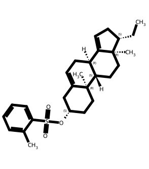 CC[C@H]1CC=C2[C@@H]3CC=C4C[C@@H](OS(=O)(=O)c5ccccc5C)CC[C@]4(C)[C@H]3CC[C@@]21C